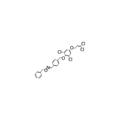 ClC(Cl)=CCOc1cc(Cl)c(OCc2ccc(/C=N/OCc3ccccc3)cc2)c(Cl)c1